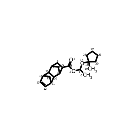 CC(OC(=O)C1CC2CC1C1C3C=CC(C3)C21)OC1(C)CCCC1